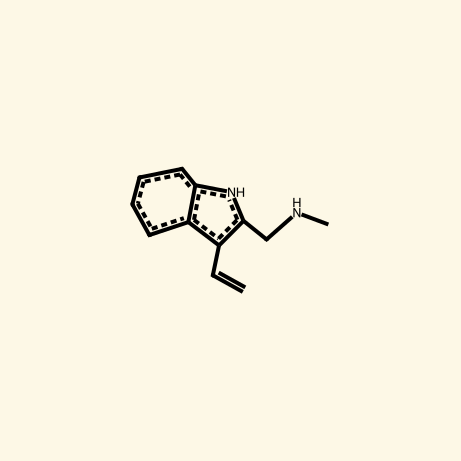 C=Cc1c(CNC)[nH]c2ccccc12